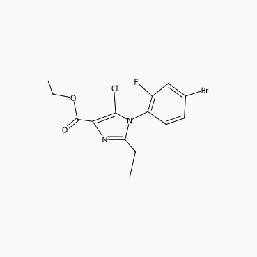 CCOC(=O)c1nc(CC)n(-c2ccc(Br)cc2F)c1Cl